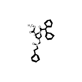 COC(=O)[C@@H]1C[C@H](C[S+]([O-])CCc2ccccc2)CN1C(=O)C(c1ccccc1)c1ccccc1